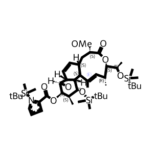 CO[C@H]1C[C@H]2C=C[C@H]3[C@H]4O[C@]2(/C(C)=C/[C@@H](C)[C@@H]([C@@H](C)O[Si](C)(C)C(C)(C)C)OC1=O)[C@@H]3[C@H](O[Si](C)(C)C(C)(C)C)[C@@H](C)[C@H]4OC(=O)c1cccn1[Si](C)(C)C(C)(C)C